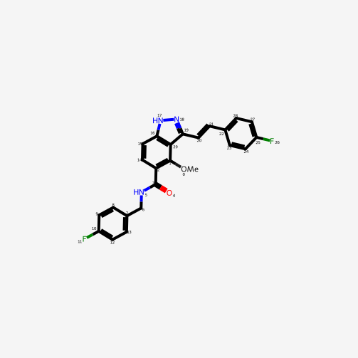 COc1c(C(=O)NCc2ccc(F)cc2)ccc2[nH]nc(/C=C/c3ccc(F)cc3)c12